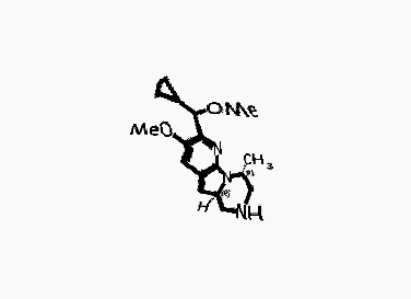 COc1cc2c(nc1C(OC)C1CC1)N1[C@@H](CNC[C@H]1C)C2